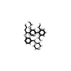 CCCC(Oc1cccc(CN2CCOCC2)c1)c1cnc(-c2c(CC)cccc2CC)cc1OCC